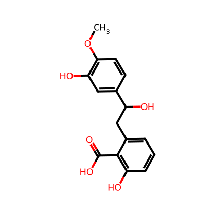 COc1ccc(C(O)Cc2cccc(O)c2C(=O)O)cc1O